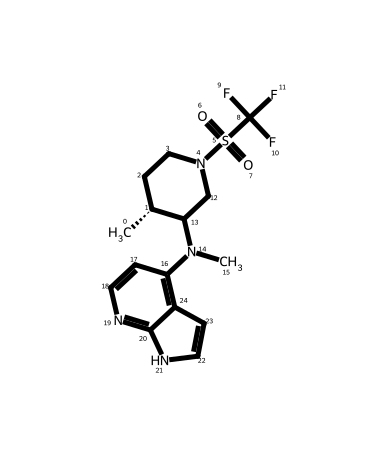 C[C@@H]1CCN(S(=O)(=O)C(F)(F)F)CC1N(C)c1ccnc2[nH]ccc12